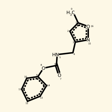 Cc1cc(CNC(=O)Oc2ccccc2)no1